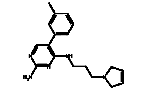 Cc1cccc(-c2cnc(N)nc2NCCCN2CC=CC2)c1